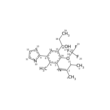 CC/C(C)=N\c1c(C)c(-c2nccs2)cc(C(O)CC)c1OC(F)(F)F